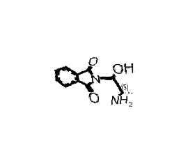 C[C@H](N)C(O)N1C(=O)c2ccccc2C1=O